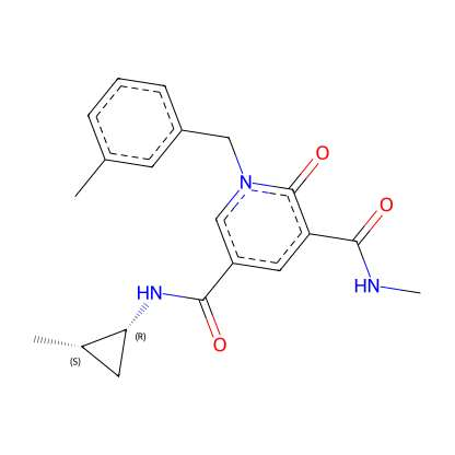 CNC(=O)c1cc(C(=O)N[C@@H]2C[C@@H]2C)cn(Cc2cccc(C)c2)c1=O